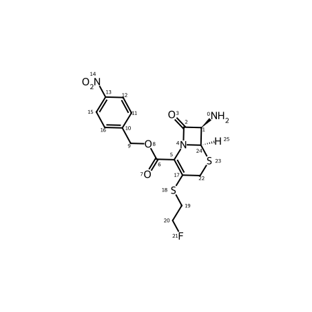 N[C@@H]1C(=O)N2C(C(=O)OCc3ccc([N+](=O)[O-])cc3)=C(SCCF)CS[C@H]12